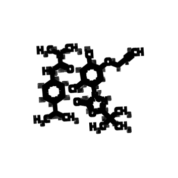 C#CCOc1cc(-n2nc(C(C)(C)C)oc2=O)c(Cl)cc1Cl.CC(C)c1ccc(NC(=O)N(C)C)cc1